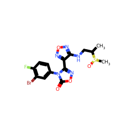 CC(CNc1nonc1-c1noc(=O)n1-c1ccc(F)c(Br)c1)[S+](C)[O-]